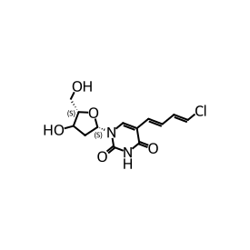 O=c1[nH]c(=O)n([C@@H]2CC(O)[C@H](CO)O2)cc1C=CC=CCl